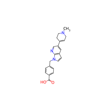 CN1CC=C(c2cnc3c(ccn3Cc3ccc(C(=O)O)cc3)c2)CC1